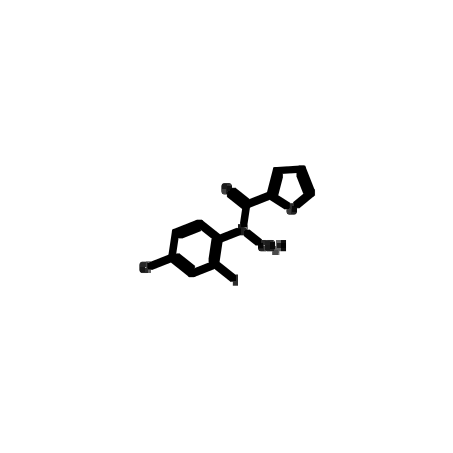 O=C(O)N(C(=O)c1ccco1)c1ccc(Cl)cc1I